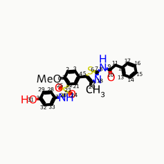 COc1ccc(-c2sc(NC(=O)Cc3ccccc3)nc2C)cc1S(=O)(=O)Nc1ccc(O)cc1